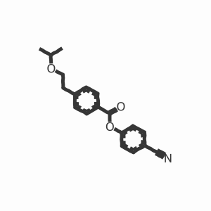 CC(C)OCCc1ccc(C(=O)Oc2ccc(C#N)cc2)cc1